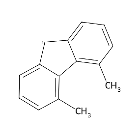 Cc1cccc2c1-c1c(C)cccc1[C]2